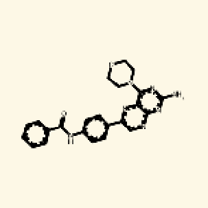 Nc1nc(N2CCOCC2)c2nc(-c3ccc(NC(=O)c4ccccc4)cc3)cnc2n1